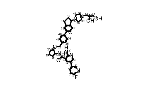 Nc1ncc(-c2ccc(F)nc2)cc1C(=O)N[C@H]1CCC[C@@H]1OCc1ccc(-c2ccc3c(c2)CCC3N2CCN(CC(O)CO)CC2)cc1